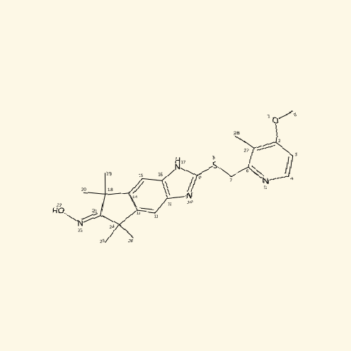 COc1ccnc(CSc2nc3cc4c(cc3[nH]2)C(C)(C)C(=NO)C4(C)C)c1C